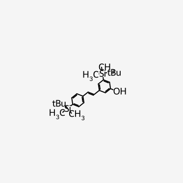 CC(C)(C)[Si](C)(C)c1ccc(/C=C/c2cc(O)cc([Si](C)(C)C(C)(C)C)c2)cc1